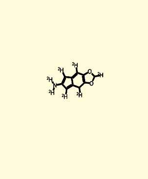 [2H]C1=C2C([2H])=C(N([2H])[2H])C([2H])=C2C([2H])C2=C1OC([2H])O2